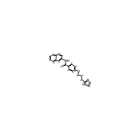 O=C(Nc1cnc2ccccc2c1)c1ccc(OCCCc2nnn[nH]2)cc1